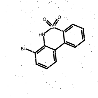 O=S1(=O)Nc2c(Br)cccc2-c2ccccc21